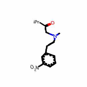 CC(C)C(=O)CN(C)CCc1cccc([N+](=O)[O-])c1